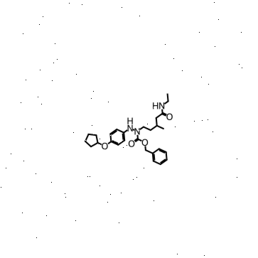 CCNC(=O)CC(C)CCN(Nc1ccc(OC2CCCC2)cc1)C(=O)OCc1ccccc1